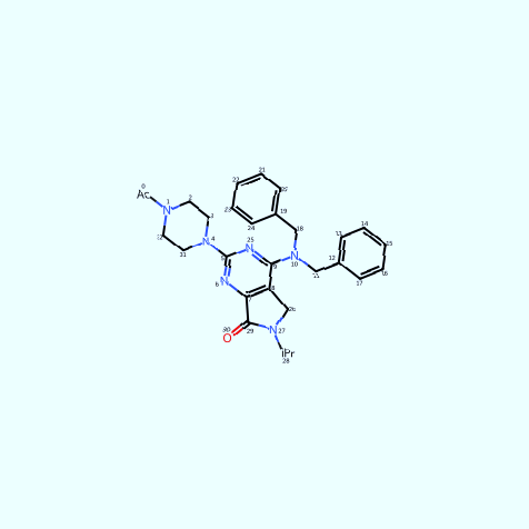 CC(=O)N1CCN(c2nc3c(c(N(Cc4ccccc4)Cc4ccccc4)n2)CN(C(C)C)C3=O)CC1